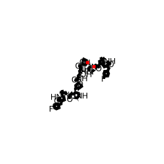 C[C@@H]1CN(CC(=O)N2CC(C)(C)c3[nH]c(=O)c(Cc4ccc(F)cc4)cc32)[C@@H](CN2CCO[C@H](C(=O)NCC(O)CNC(=O)[C@@H]3CN(C[C@H]4CN[C@H](C)CN4CC(=O)N4CC(C)(C)c5[nH]c(=O)c(Cc6ccc(F)cc6)cc54)CCO3)C2)CN1